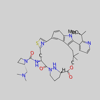 CCn1c(-c2cccnc2[C@H](C)OC)c2c3cc(ccc31)-c1csc(n1)C[C@H](NC(=O)N1CC[C@H]1CN(C)C)C(=O)N1CCC[C@H](N1)C(=O)OCC(C)(C)C2